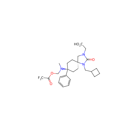 CN(COC(=O)C(F)(F)F)[C@]1(c2ccccc2)CC[C@]2(CC1)CN(CC(=O)O)C(=O)N2CC1CCC1